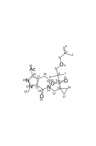 C=C(C)COCC(C)(C)S(=O)(=O)C1(CN2CCc3c(C(C)=O)nn(C)c3C2=O)CC1